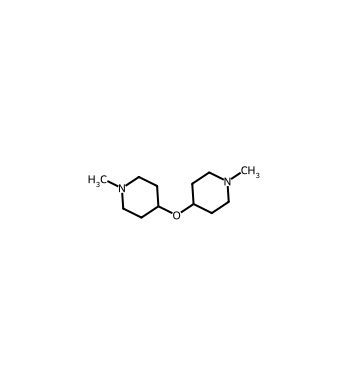 CN1CCC(OC2CCN(C)CC2)CC1